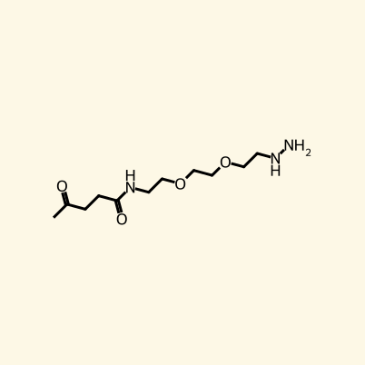 CC(=O)CCC(=O)NCCOCCOCCNN